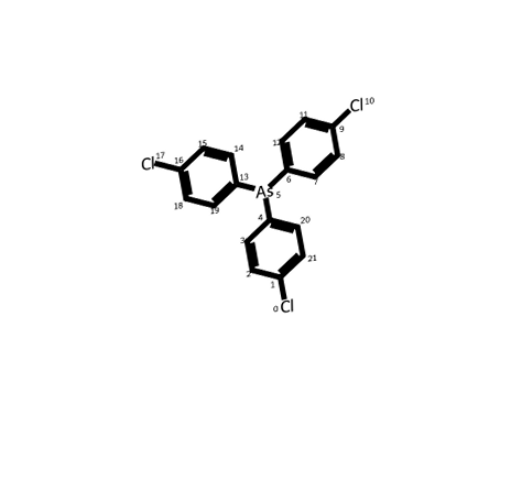 Clc1ccc([As](c2ccc(Cl)cc2)c2ccc(Cl)cc2)cc1